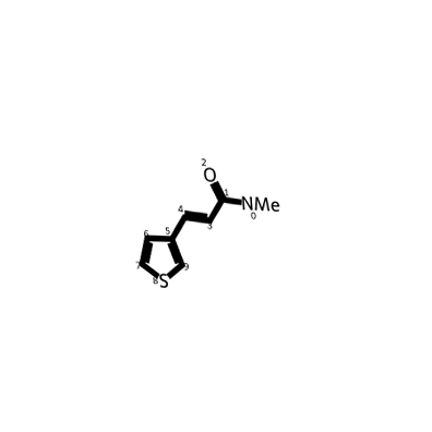 CNC(=O)C=Cc1ccsc1